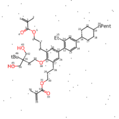 C=C(C)C(=O)OCCCc1cc(-c2ccc(C3CCC(CCCCC)CC3)cc2CC)cc(CCCOC(=O)C(=C)C)c1OCCC(CO)(CO)C(C)(C)C